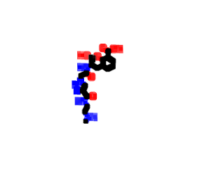 CNCCNC(=O)c1cn(CC(=O)NC2Cc3cccc(C(=O)O)c3OB2O)nn1